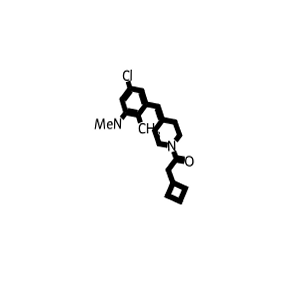 CNc1cc(Cl)cc(C=C2CCN(C(=O)CC3CCC3)CC2)c1C